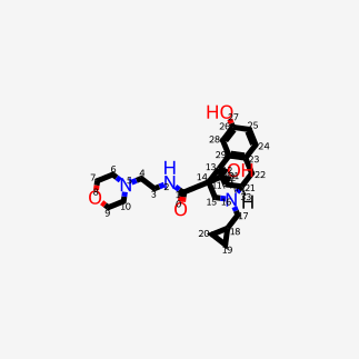 O=C(NCCN1CCOCC1)C1CC23CCN(CC4CC4)[C@H](Cc4ccc(O)cc42)[C@]3(O)C1